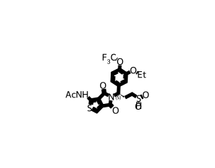 CCOc1cc([C@H](CC[SH](=O)=O)N2C(=O)c3csc(NC(C)=O)c3C2=O)ccc1OC(F)(F)F